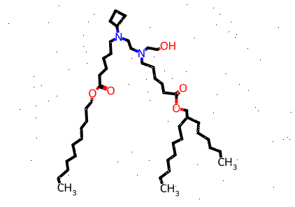 CCCCCCCCCCCOC(=O)CCCCCN(CCN(CCO)CCCCCC(=O)OCC(CCCCCC)CCCCCCCC)C1CCC1